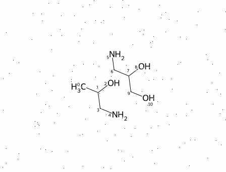 CC(O)CN.NCC(O)CO